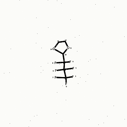 FC(F)(F)C(F)(F)C(F)(F)C1OCCO1